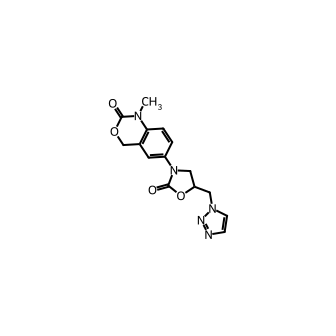 CN1C(=O)OCc2cc(N3CC(Cn4ccnn4)OC3=O)ccc21